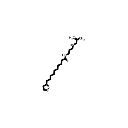 C=C(C)CNCCCNC(=O)CCCCCCCCCC1CCSS1